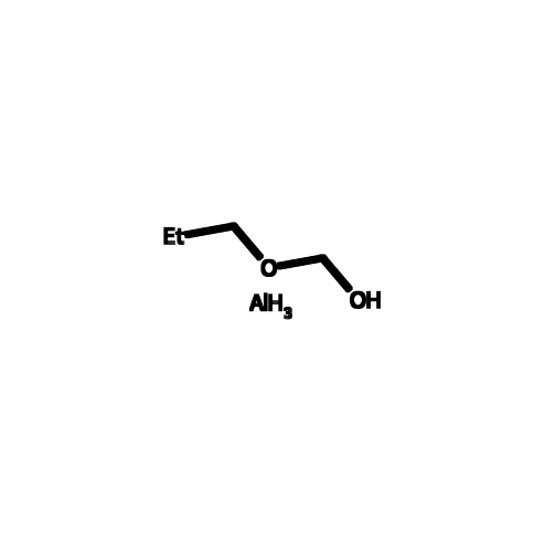 CCCOCO.[AlH3]